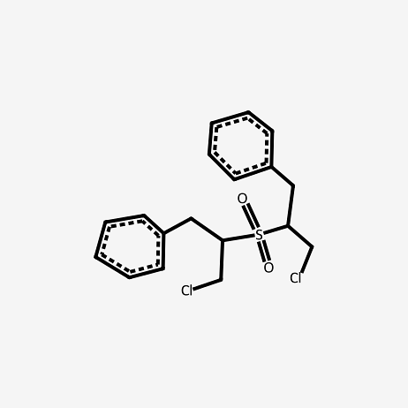 O=S(=O)(C(CCl)Cc1ccccc1)C(CCl)Cc1ccccc1